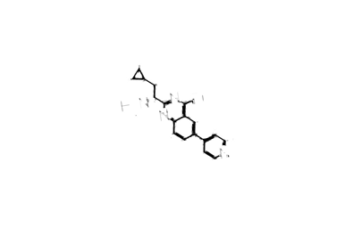 CCc1nc([C@H](N)CC2CC2)nc2ccc(-c3ccncc3)cc12